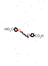 CC(CCCCCOc1ccc(C(=O)O)cc1)Oc1ccc(C(=O)O)cc1